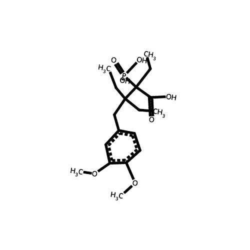 CCC(CC)(Cc1ccc(OC)c(OC)c1)C(CC)(C(=O)O)P(=O)(O)O